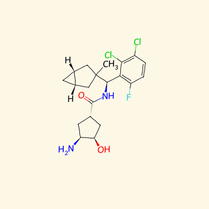 CC1([C@H](NC(=O)[C@@H]2C[C@@H](O)[C@@H](N)C2)c2c(F)ccc(Cl)c2Cl)C[C@H]2C[C@H]2C1